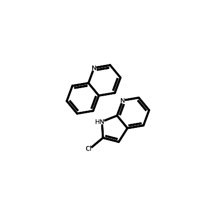 Clc1cc2cccnc2[nH]1.c1ccc2ncccc2c1